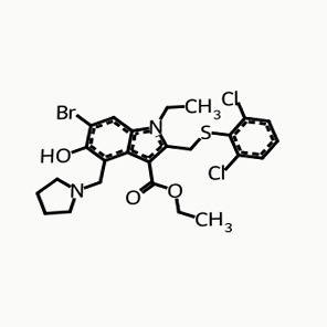 CCOC(=O)c1c(CSc2c(Cl)cccc2Cl)n(CC)c2cc(Br)c(O)c(CN3CCCC3)c12